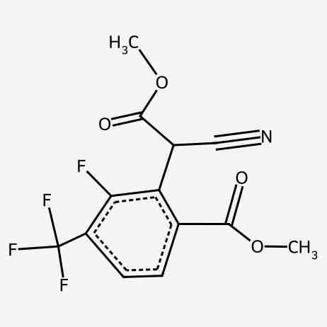 COC(=O)c1ccc(C(F)(F)F)c(F)c1C(C#N)C(=O)OC